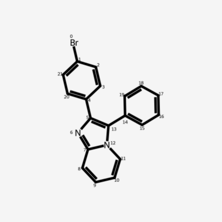 Brc1ccc(-c2nc3ccccn3c2-c2ccccc2)cc1